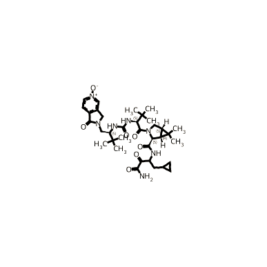 CC(C)(C)[C@H](NC(=O)N[C@H](CN1Cc2c[n+]([O-])ccc2C1=O)C(C)(C)C)C(=O)N1C[C@H]2[C@@H]([C@H]1C(=O)NC(CC1CC1)C(=O)C(N)=O)C2(C)C